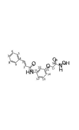 O=C(C=Cc1ccccc1)Nc1cccc(OCC(=O)NO)c1